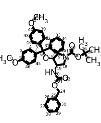 COc1ccc(C(O[C@H]2CN(C(=O)OC(C)(C)C)C[C@H]2NC(=O)OCc2ccccc2)(c2ccccc2)c2ccc(OC)cc2)cc1